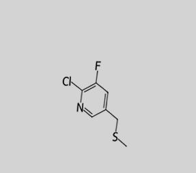 CSCc1cnc(Cl)c(F)c1